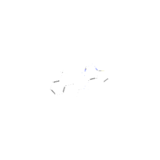 CC(Cc1ccccc1C(F)(F)F)Nc1ncnc2sccc12